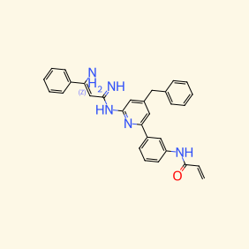 C=CC(=O)Nc1cccc(-c2cc(Cc3ccccc3)cc(NC(=N)/C=C(\N)c3ccccc3)n2)c1